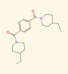 CCC1CCN(C(=O)c2ccc(C(=O)N3CCC(CC)CC3)cc2)CC1